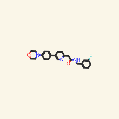 O=C(Cc1ccc(C2=CC=C(N3CCOCC3)CC2)cn1)NCC1=CCCC(F)=C1